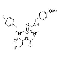 COc1ccc(CNC(=O)N2[C@H]3CN(CCc4ccc(F)cc4)C(=O)[C@H](CC(C)C)N3C(=O)CN2C)cc1